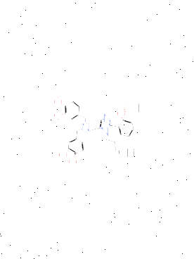 CCCCn1c(CN(Cc2ccc3c(c2)OCO3)Cc2ccc3c(c2)OCO3)cnc1-c1ccccc1OC